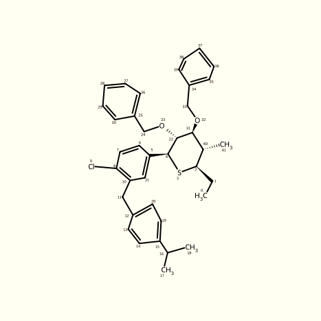 CC[C@H]1S[C@@H](c2ccc(Cl)c(Cc3ccc(C(C)C)cc3)c2)[C@H](OCc2ccccc2)[C@@H](OCc2ccccc2)[C@@H]1C